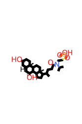 CC(CCC(=O)N(CCS(=O)(=O)O)C(C)C)C1CCC2C3C(CC[C@]12C)[C@@]1(C)CC[C@@H](O)C[C@H]1C[C@@H]3O